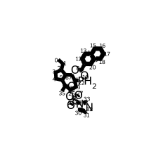 CCC1CCC2C1C(OC(=O)c1ccc3ccccc3c1)C1(P)CC(OS(=O)(=O)n3ccnc3)C2(C)O1